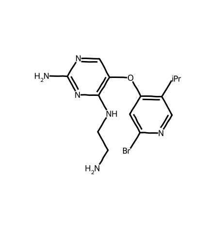 CC(C)c1cnc(Br)cc1Oc1cnc(N)nc1NCCN